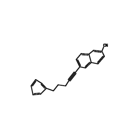 N#Cc1ccc2cc(C#CCCCc3ccccc3)ccc2c1